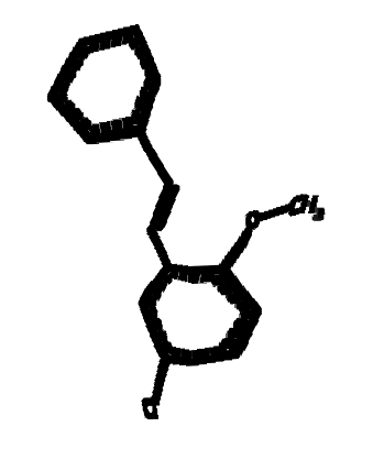 COc1ccc(Cl)cc1/C=C/c1ccccc1